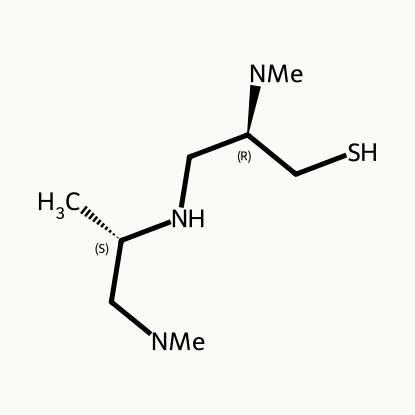 CNC[C@H](C)NC[C@H](CS)NC